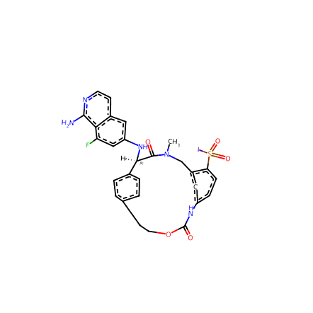 CN1Cc2cc(ccc2S(=O)(=O)I)NC(=O)OCCc2ccc(cc2)[C@@H](Nc2cc(F)c3c(N)nccc3c2)C1=O